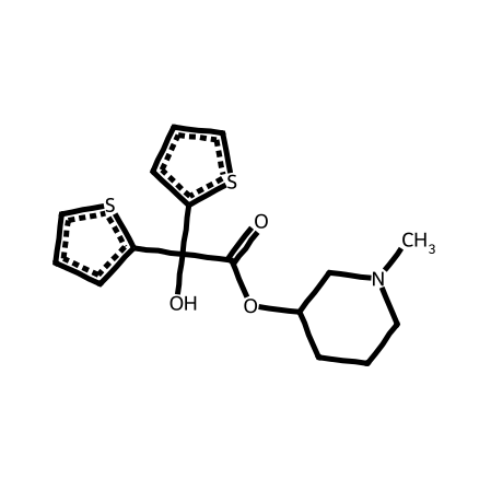 CN1CCCC(OC(=O)C(O)(c2cccs2)c2cccs2)C1